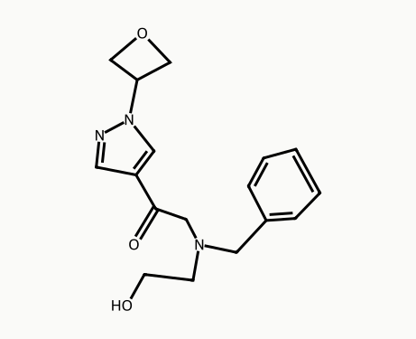 O=C(CN(CCO)Cc1ccccc1)c1cnn(C2COC2)c1